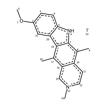 COc1ccc2[nH]c3c(C)c4cc[n+](C)cc4c(C)c3c2c1.[I-]